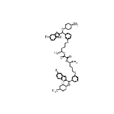 CN1CCC(OC(c2cccc(SCCCC(N)OC(=O)C(=O)OC(N)CCCSc3cccc(C(OC4CCN(C)CC4)c4nc5cc(F)ccc5[nH]4)c3)c2)c2nc3cc(F)ccc3[nH]2)CC1